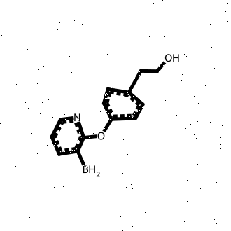 Bc1cccnc1Oc1ccc(CCO)cc1